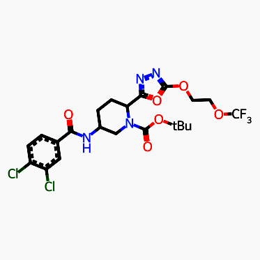 CC(C)(C)OC(=O)N1CC(NC(=O)c2ccc(Cl)c(Cl)c2)CCC1c1nnc(OCCOC(F)(F)F)o1